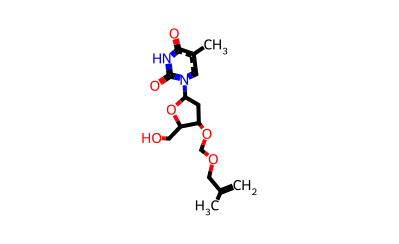 C=C(C)COCOC1CC(n2cc(C)c(=O)[nH]c2=O)OC1CO